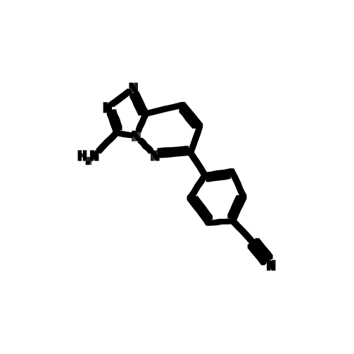 N#Cc1ccc(-c2ccc3nnc(N)n3n2)cc1